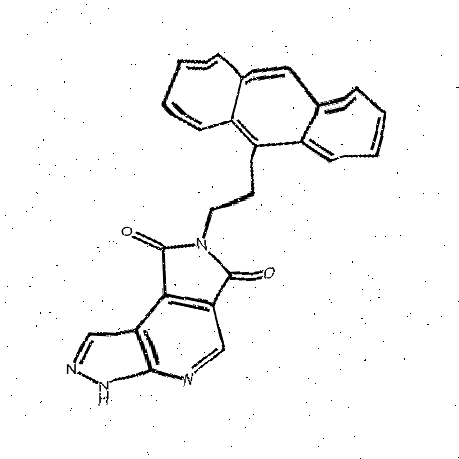 O=C1c2cnc3[nH]ncc3c2C(=O)N1CCc1c2ccccc2cc2ccccc12